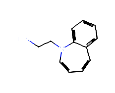 NCCN1C=CC=Cc2ccccc21